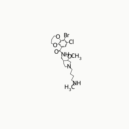 CNCCCCN1CC[C@@H](CNC(=O)c2cc(Cl)c(Br)c3c2OCCCO3)C(OC)C1